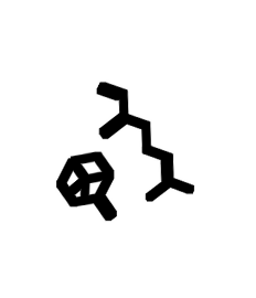 C=C1CCC2CC1C2(C)C.C=CC(=C)CCC=C(C)C